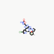 CC([C@H]1CC[C@H](C)CC1)n1c(N2CCC[C@H]2CF)nc2nc(-c3n[nH]c(=O)o3)nc(-c3cncc(Cl)c3)c21